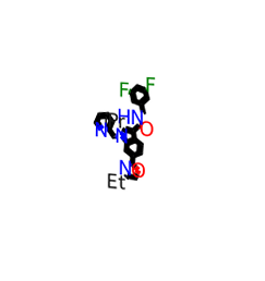 CCC1COC(c2ccc3c(C(=O)NCc4cc(F)cc(F)c4)c(C(C)C)n(Cc4ccccn4)c3c2)=N1